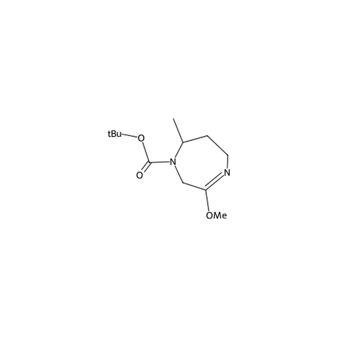 COC1=NCCC(C)N(C(=O)OC(C)(C)C)C1